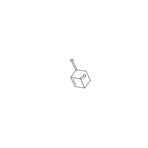 O=C1CCC2[C]=C1C2=O